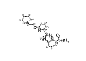 NC(=O)c1cccc2[nH]c(-c3cccc(OCCN4CCCCC4)n3)nc12